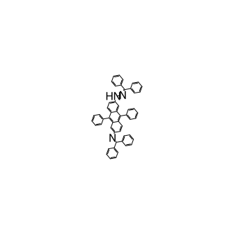 c1ccc(C(=NNc2ccc3c(-c4ccccc4)c4cc(N=C(c5ccccc5)c5ccccc5)ccc4c(-c4ccccc4)c3c2)c2ccccc2)cc1